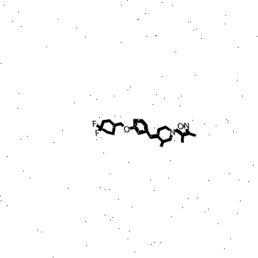 Cc1noc(N2CCC(=Cc3cccc(OCC4CCC(F)(F)CC4)c3)C(C)C2)c1C